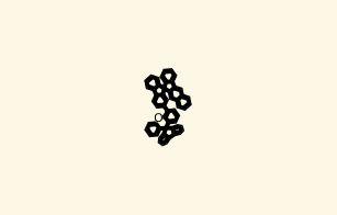 c1ccc2c(c1)Oc1c(-c3ccc4c(c3)C3(c5ccccc5-4)c4ccccc4-c4cc5ccccc5cc43)cccc1C21c2ccccc2-c2ccccc21